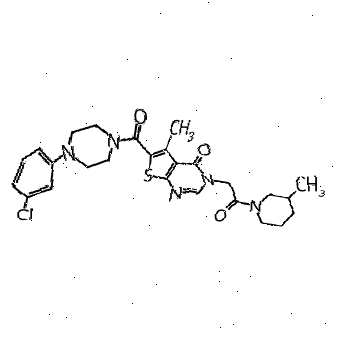 Cc1c(C(=O)N2CCN(c3cccc(Cl)c3)CC2)sc2ncn(CC(=O)N3CCCC(C)C3)c(=O)c12